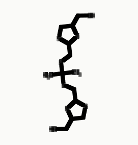 CC(C)(SCC1SCC(CS)S1)SCC1SCC(CS)S1